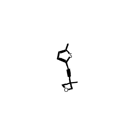 Cc1ccc(C#CC2(C)COC2)s1